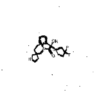 O=C(N1CCCC2(CCNC2)C1)[C@](O)(c1ccccc1)[C@@H]1CCC(F)(F)C1